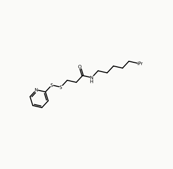 CC(C)CCCCCNC(=O)CCSSc1ccccn1